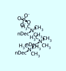 CCCCCCCCCC[N+](C)(C)C.CCCCCCCCCC[N+](C)(C)C.CCCCCCCCCC[N+](C)(C)C.O=P([O-])([O-])[O-]